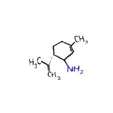 C=C(C)[C@@H]1CCC(C)=CC1N